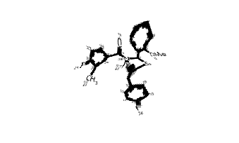 COc1ccccc1C1SC(c2ccc(F)cc2)=NN1C(=O)c1ccc(F)c(C)c1